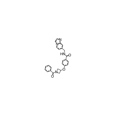 O=C(NCc1ccn2ccnc2c1)c1ccc(OC2CN(C(=O)c3ccccc3)C2)cc1